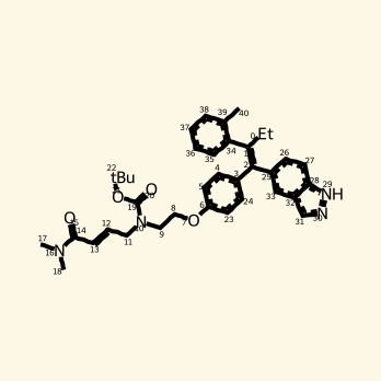 CC/C(=C(/c1ccc(OCCN(C/C=C/C(=O)N(C)C)C(=O)OC(C)(C)C)cc1)c1ccc2[nH]ncc2c1)c1ccccc1C